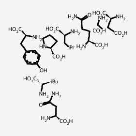 CC(C)C[C@H](N)C(=O)O.CC[C@H](C)[C@H](N)C(=O)O.NC(=O)CC[C@H](N)C(=O)O.NC(=O)C[C@H](N)C(=O)O.NCC(=O)O.N[C@@H](CC(=O)O)C(=O)O.N[C@@H](Cc1ccc(O)cc1)C(=O)O.O=C(O)[C@@H]1CCCN1